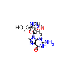 CC(C)(O)[C@@](N)(OCn1cnc2c(=O)[nH]c(N)nc21)C(=O)O